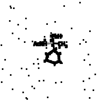 CC(=O)N[C@@](C)([PbH])c1ccccc1